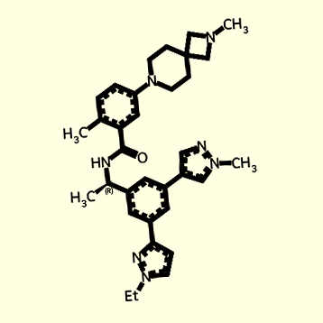 CCn1ccc(-c2cc(-c3cnn(C)c3)cc([C@@H](C)NC(=O)c3cc(N4CCC5(CC4)CN(C)C5)ccc3C)c2)n1